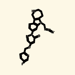 [N-]=[N+]=NCn1c2c(c3ccc(-n4ncc(OCc5ccc(F)cn5)cc4=O)cc31)CNCCC2